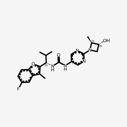 Cc1c([C@@H](NC(=O)Nc2cnc(N3C[C@@H](O)[C@@H]3C)nc2)C(C)C)oc2ccc(F)cc12